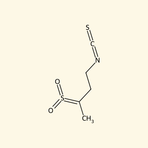 CC(CCN=C=S)=S(=O)=O